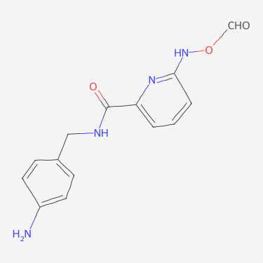 Nc1ccc(CNC(=O)c2cccc(NOC=O)n2)cc1